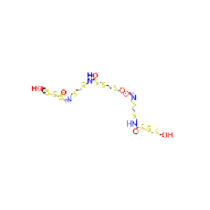 O=C(NCSCCSC/N=C\[S+]([O-])CSCSCO)SCSCCSCOO/C=N\CSCCSCNC(=O)SCSCSCO